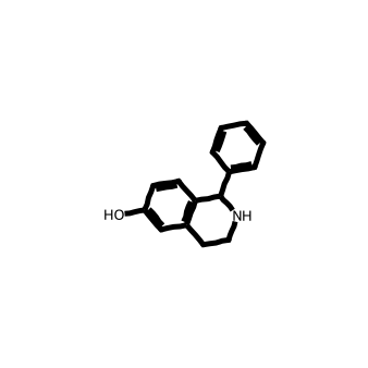 Oc1ccc2c(c1)CCNC2c1ccccc1